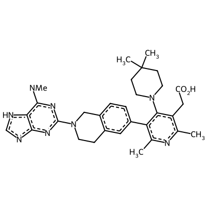 CNc1nc(N2CCc3cc(-c4c(C)nc(C)c(CC(=O)O)c4N4CCC(C)(C)CC4)ccc3C2)nc2nc[nH]c12